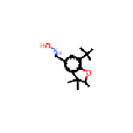 CC1Oc2c(C(C)(C)C)cc(/C=N/O)cc2C1(C)C